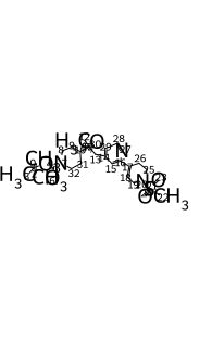 CC(C)(C)OC(=O)N1CCC([C@@]2(C)Cc3cc(C4=CCN(S(C)(=O)=O)CC4)ncc3O2)CC1